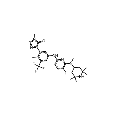 Cc1c(-n2nnn(C)c2=O)cc(Nc2ncc(F)c(N(C)C3CC(C)(C)NC(C)(C)C3)n2)cc1C(F)(F)F